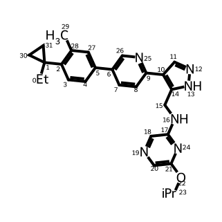 CCC1(c2ccc(-c3ccc(-c4cn[nH]c4CNc4cncc(OC(C)C)n4)nc3)cc2C)CC1